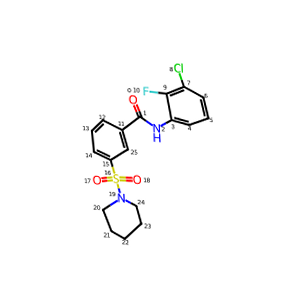 O=C(Nc1cccc(Cl)c1F)c1cccc(S(=O)(=O)N2CCCCC2)c1